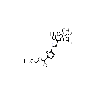 CCOC(=O)c1ccc(/C=C/C(=O)OC(C)(C)C)s1